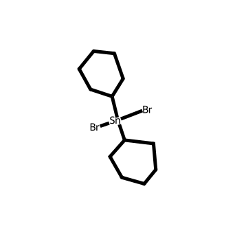 [Br][Sn]([Br])([CH]1CCCCC1)[CH]1CCCCC1